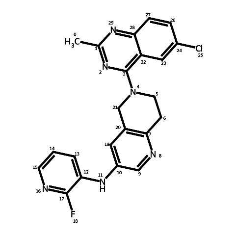 Cc1nc(N2CCc3ncc(Nc4cccnc4F)cc3C2)c2cc(Cl)ccc2n1